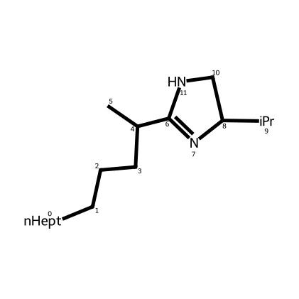 CCCCCCCCCCC(C)C1=NC(C(C)C)CN1